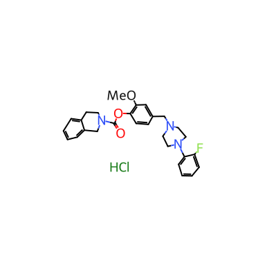 COc1cc(CN2CCN(c3ccccc3F)CC2)ccc1OC(=O)N1CCc2ccccc2C1.Cl